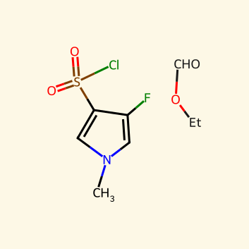 CCOC=O.Cn1cc(F)c(S(=O)(=O)Cl)c1